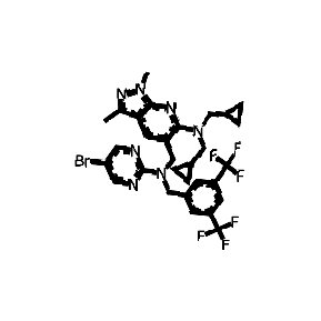 Cc1nn(C)c2nc(N(CC3CC3)CC3CC3)c(CN(Cc3cc(C(F)(F)F)cc(C(F)(F)F)c3)c3ncc(Br)cn3)cc12